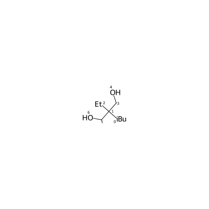 CCC(C)C(CC)(CO)CO